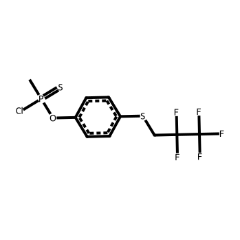 CP(=S)(Cl)Oc1ccc(SCC(F)(F)C(F)(F)F)cc1